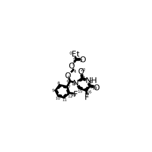 CCC(=O)OCOC(c1ccccc1F)n1cc(F)c(=O)[nH]c1=O